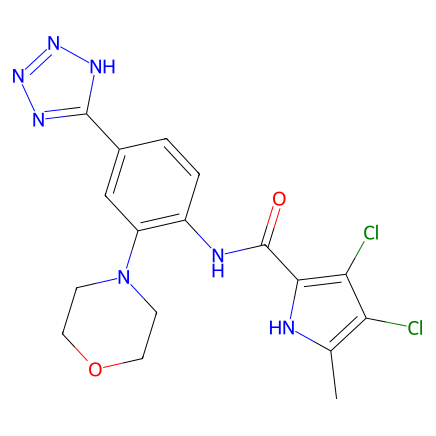 Cc1[nH]c(C(=O)Nc2ccc(-c3nnn[nH]3)cc2N2CCOCC2)c(Cl)c1Cl